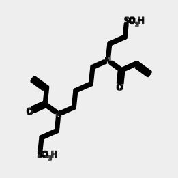 C=CC(=O)N(CCCCN(CCS(=O)(=O)O)C(=O)C=C)CCS(=O)(=O)O